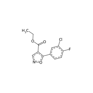 CCOC(=O)c1cnoc1-c1ccc(F)c(Cl)c1